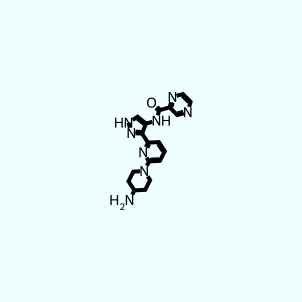 NC1CCN(c2cccc(-c3n[nH]cc3NC(=O)c3cnccn3)n2)CC1